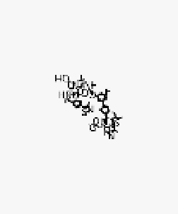 COC(=O)C[C@@H]1N=C(c2ccc(-c3cc(F)cc(OCC(=O)N[C@H](C(=O)N4C[C@H](O)C[C@H]4C(=O)N[C@@H](C)c4ccc(-c5scnc5C)cc4)C(C)(C)C)c3)cc2)c2c(sc(C)c2C)-n2c(C)nnc21